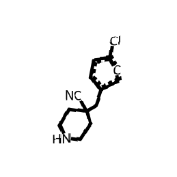 N#CC1(Cc2ccc(Cl)cc2)CCNCC1